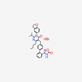 Br.CCCCc1nc(C(C)C)n(-c2ccc3c(c2)CCO3)c(=O)c1Cc1ccc(-c2ccccc2-c2noc(=O)[nH]2)cc1